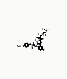 CCN(CC)CCNC(=O)c1c(C)[nH]c(/C=C2\C(=O)N(CC(=O)NCc3ccc(OC)cc3)c3ccc(F)cc32)c1C